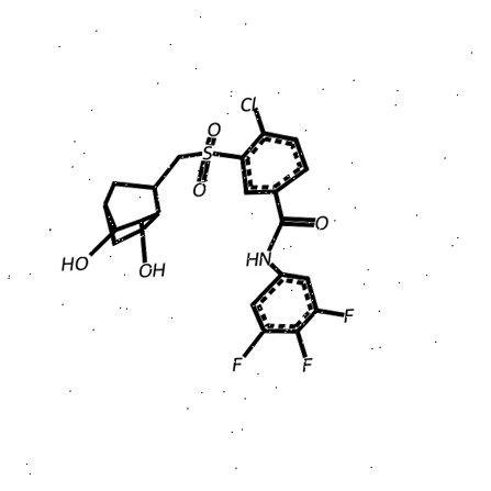 O=C(Nc1cc(F)c(F)c(F)c1)c1ccc(Cl)c(S(=O)(=O)CC2CC3CCC2C(O)C3O)c1